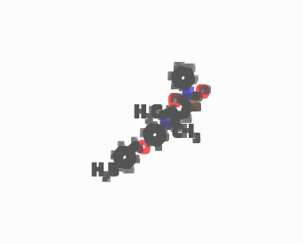 Bc1ccc(COc2ccc(-n3c(C)cc(C=C4SC(=O)N(c5ccccc5)C4=O)c3C)cc2)cc1